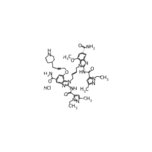 CCn1nc(C)cc1C(=O)Nc1nc2cc(C(N)=O)cc(OC)c2n1CC=CCn1c(NC(=O)c2cc(C)nn2CC)nc2cc(C(N)=O)cc(OCC#CCC3CCNCC3)c21.Cl